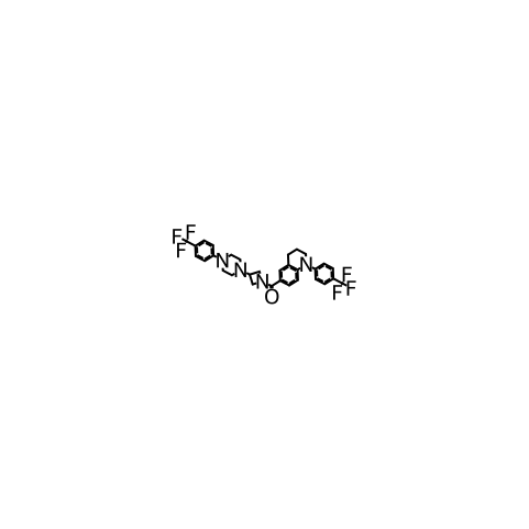 O=C(c1ccc2c(c1)CCCN2c1ccc(C(F)(F)F)cc1)N1CC(N2CCN(c3ccc(C(F)(F)F)cc3)CC2)C1